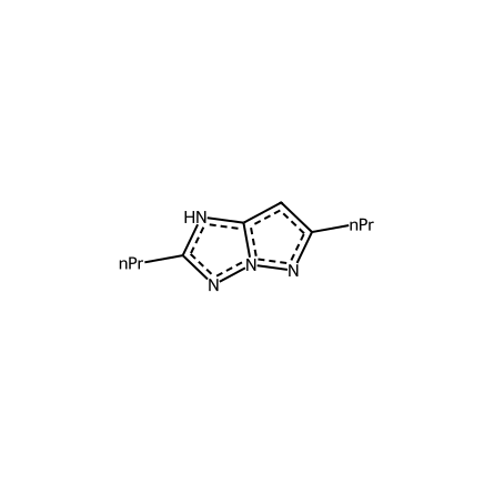 CCCc1cc2[nH]c(CCC)nn2n1